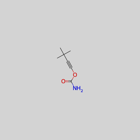 CC(C)(C)C#COC(N)=O